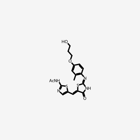 CC(=O)Nc1ncc(C=C2SC(=Nc3ccc(OCCCO)cc3C)NC2=O)s1